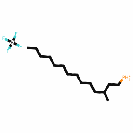 CCCCCCCCCCCC(C)CC[PH3+].F[B-](F)(F)F